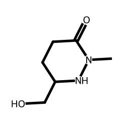 CN1NC(CO)CCC1=O